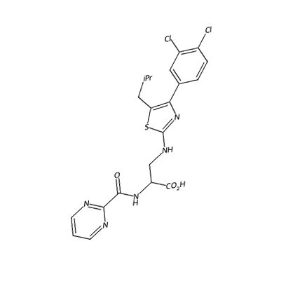 CC(C)Cc1sc(NCC(NC(=O)c2ncccn2)C(=O)O)nc1-c1ccc(Cl)c(Cl)c1